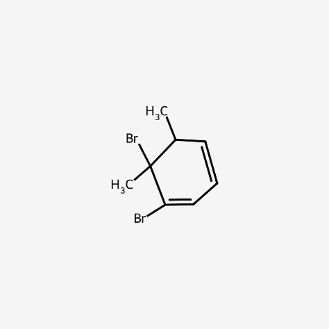 CC1C=CC=C(Br)C1(C)Br